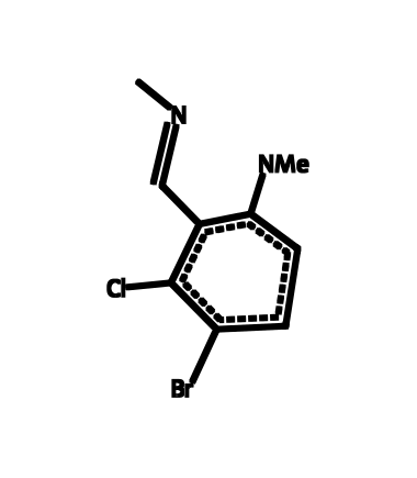 C/N=C/c1c(NC)ccc(Br)c1Cl